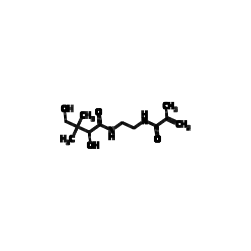 C=C(C)C(=O)NCCNC(=O)C(O)C(C)(C)CO